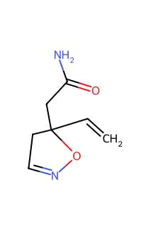 C=CC1(CC(N)=O)CC=NO1